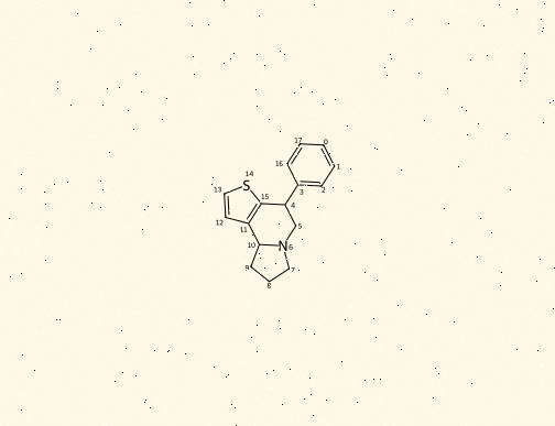 c1ccc(C2CN3CCCC3c3ccsc32)cc1